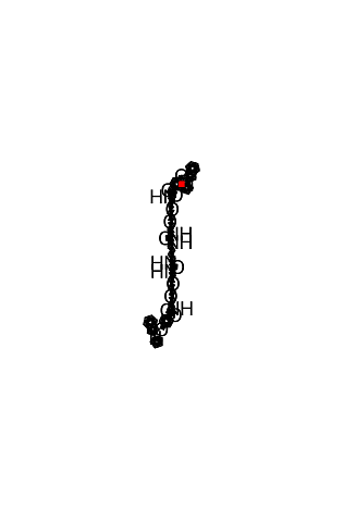 O=C(NCCCCNC(=O)NCCOCCOCCNS(=O)(=O)c1ccc(O[C@H]2c3ccccc3C[C@@H]2N2CCCC2)cc1)NCCOCCOCCNS(=O)(=O)c1ccc(O[C@H]2c3ccccc3CC2N2CCCC2)cc1